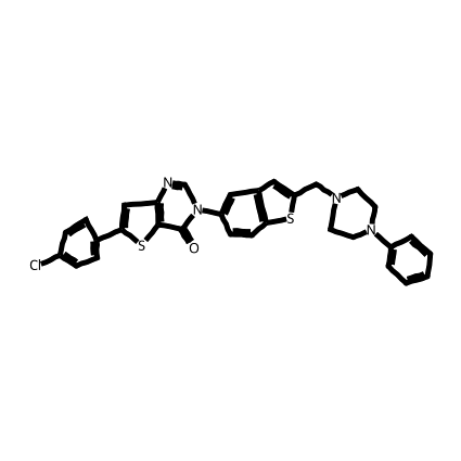 O=c1c2sc(-c3ccc(Cl)cc3)cc2ncn1-c1ccc2sc(CN3CCN(c4ccccc4)CC3)cc2c1